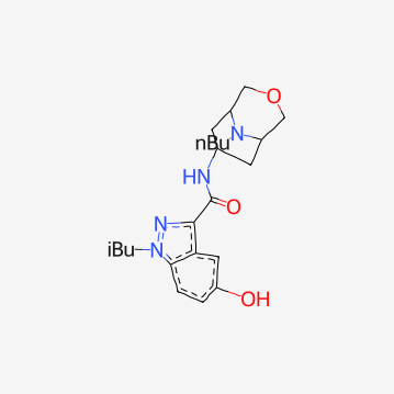 CCCCN1C2COCC1CC(NC(=O)c1nn(C(C)CC)c3ccc(O)cc13)C2